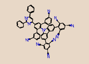 N#Cc1cccc(-c2cc(-c3cc(-c4ccccc4)nc(-c4ccccc4)n3)cc(-c3cccc(C#N)c3)c2-n2c3ccc(-c4c(C#N)cc(C#N)cc4C#N)cc3c3cc(-c4c(C#N)cc(C#N)cc4C#N)ccc32)c1